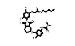 CCCCCOC(=O)COc1cc(N2C(=O)C3=C(CCCC3)C2=O)c(F)cc1Cl.CN(C)C(=O)Nc1ccc(Cl)c(Cl)c1